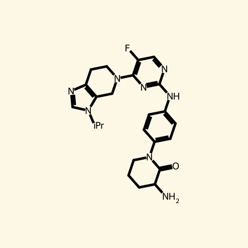 CC(C)n1cnc2c1CN(c1nc(Nc3ccc(N4CCCC(N)C4=O)cc3)ncc1F)CC2